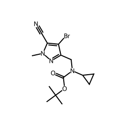 Cn1nc(CN(C(=O)OC(C)(C)C)C2CC2)c(Br)c1C#N